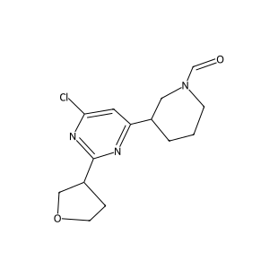 O=CN1CCCC(c2cc(Cl)nc(C3CCOC3)n2)C1